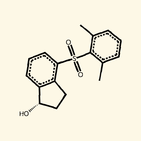 Cc1cccc(C)c1S(=O)(=O)c1cccc2c1CC[C@@H]2O